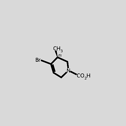 C[C@H]1CN(C(=O)O)CC=C1Br